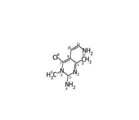 CC1=NC(N)N(C)C(Cl)=C1/C=C\N